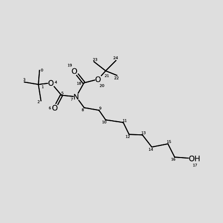 CC(C)(C)OC(=O)N(CCCCCCCCCO)C(=O)OC(C)(C)C